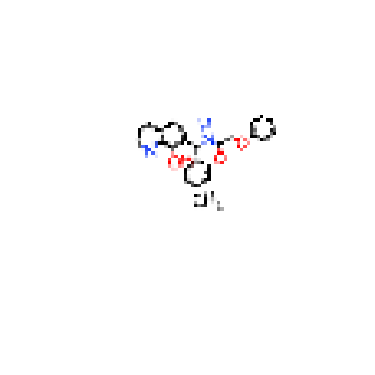 Cc1ccc(C(NC(=O)COc2ccccc2)c2ccc3cccnc3c2O)cc1